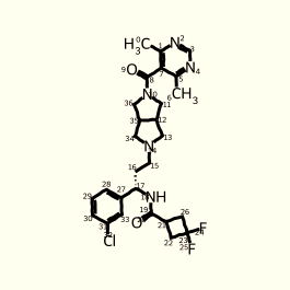 Cc1ncnc(C)c1C(=O)N1CC2CN(CC[C@H](NC(=O)C3CC(F)(F)C3)c3cccc(Cl)c3)CC2C1